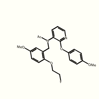 COc1ccc(Oc2ncccc2N(Cc2cc(OC)ccc2OCCF)C(C)=O)cc1